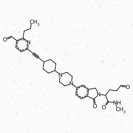 CCCc1nc(C#CC2CCC(N3CCN(c4ccc5c(c4)CN(C(CCC=O)C(=O)NC)C5=O)CC3)CC2)ccc1C=O